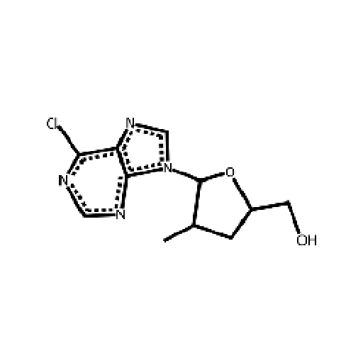 CC1CC(CO)OC1n1cnc2c(Cl)ncnc21